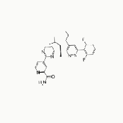 CCCc1cc(-c2c(F)cccc2F)nnc1[C@@](C)(CC(C)C)c1ccnc(-c2ccnc(C(N)=O)c2)n1